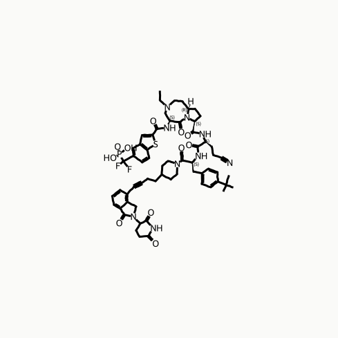 CCN1CC[C@H]2CC[C@@H](C(=O)N[C@@H](CCC#N)C(=O)N[C@@H](Cc3ccc(C(C)(C)C)cc3)C(=O)N3CCC(CCC#Cc4cccc5c4CN(C4CCC(=O)NC4=O)C5=O)CC3)N2C(=O)[C@@H](NC(=O)c2cc3cc(C(F)(F)P(=O)(O)O)ccc3s2)C1